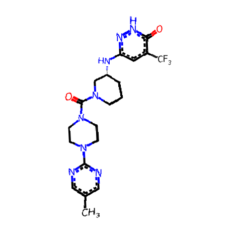 Cc1cnc(N2CCN(C(=O)N3CCC[C@@H](Nc4cc(C(F)(F)F)c(=O)[nH]n4)C3)CC2)nc1